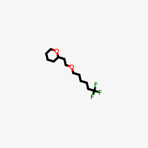 FC(F)(F)CCCCCOCCC1CCCCO1